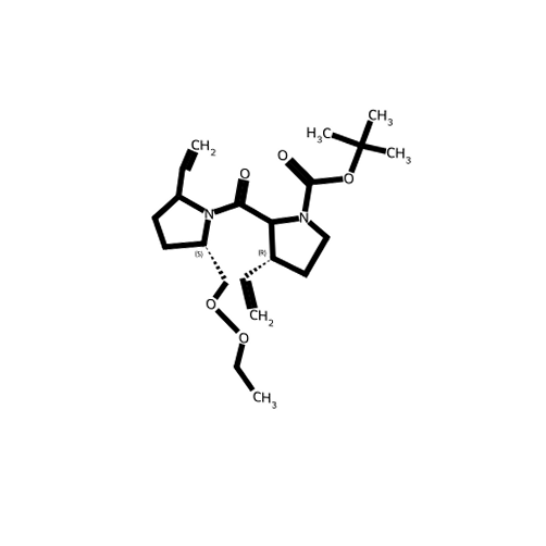 C=CC1CC[C@@H](COOCC)N1C(=O)C1[C@@H](C=C)CCN1C(=O)OC(C)(C)C